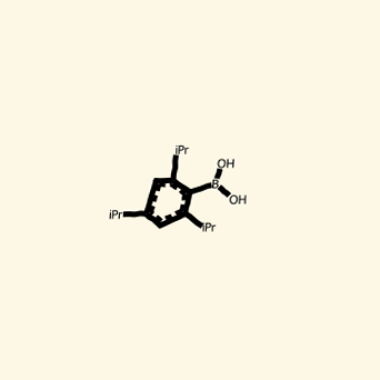 CC(C)c1cc(C(C)C)c(B(O)O)c(C(C)C)c1